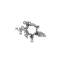 CCCC[C@H](NC(C)=O)C(=O)N[C@H]1CCC(=O)NCCCCNC(=O)[C@H](Cc2c[nH]c3ccccc23)NC(=O)[C@H](CCCNC(=N)N)NC(=O)[C@@H](Cc2ccccc2F)NC(=O)[C@H](Cc2c[nH]cn2)NC1=O